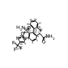 NC(=O)Cc1ccc(-n2cc(C(F)(F)F)nn2)c(S(N)(=O)=O)c1-c1ccccc1F